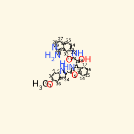 COc1ccc2[nH]c(C(=O)NC(c3ccccc3)C(O)C(=O)Nc3ccc4ccnc(N)c4c3)cc2c1